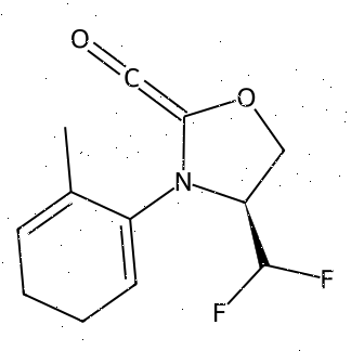 CC1=CCCC=C1N1C(=C=O)OC[C@H]1C(F)F